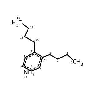 CCCCc1ccccc1CCCC.N